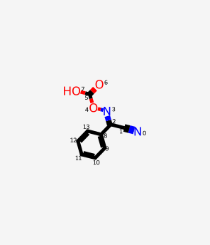 N#C/C(=N/OC(=O)O)c1ccccc1